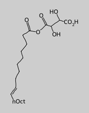 CCCCCCCCC=CCCCCCCCC(=O)OC(=O)C(O)C(O)C(=O)O